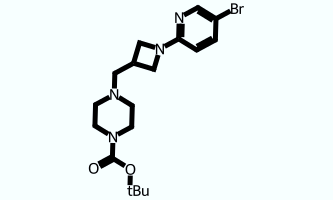 CC(C)(C)OC(=O)N1CCN(CC2CN(c3ccc(Br)cn3)C2)CC1